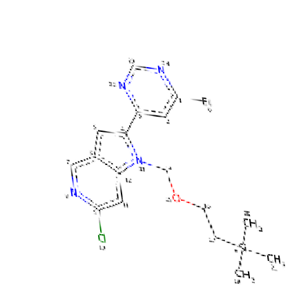 CCc1cc(-c2cc3cnc(Cl)cc3n2COCC[Si](C)(C)C)ncn1